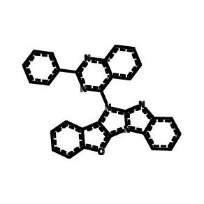 c1ccc(-c2nc(-n3c4c5ccccc5oc4n4c5ccccc5nc34)c3ccccc3n2)cc1